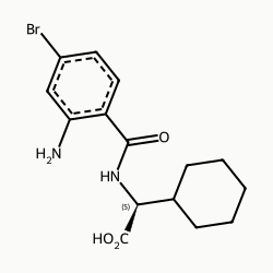 Nc1cc(Br)ccc1C(=O)N[C@H](C(=O)O)C1CCCCC1